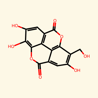 O=c1oc2c(CO)c(O)cc3c(=O)oc4c(O)c(O)cc1c4c23